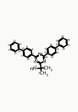 CCCC(C)(C)c1nc(-c2ccc(-c3ccccc3)cc2)nc(-c2ccc(-c3ccccc3)cc2)n1